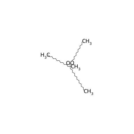 CCCCCCCCCCCCCCC(C)(CCCCCCCCCCCC)C(=O)OCCCCCCCCCCCC